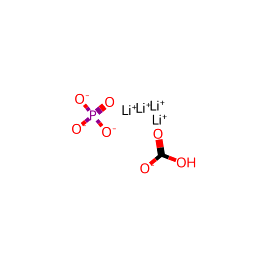 O=C([O-])O.O=P([O-])([O-])[O-].[Li+].[Li+].[Li+].[Li+]